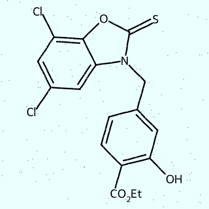 CCOC(=O)c1ccc(Cn2c(=S)oc3c(Cl)cc(Cl)cc32)cc1O